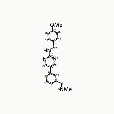 CNCc1cccc(-c2cnc(NCc3ccc(OC)cc3)nc2)c1